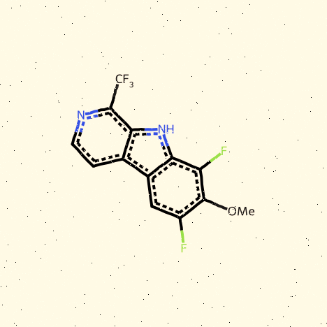 COc1c(F)cc2c([nH]c3c(C(F)(F)F)nccc32)c1F